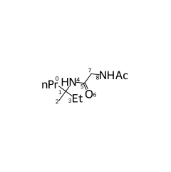 CCCC(C)(CC)NC(=O)CNC(C)=O